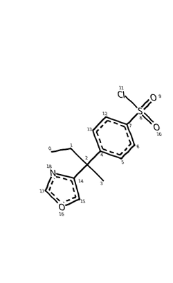 CCC(C)(c1ccc(S(=O)(=O)Cl)cc1)c1cocn1